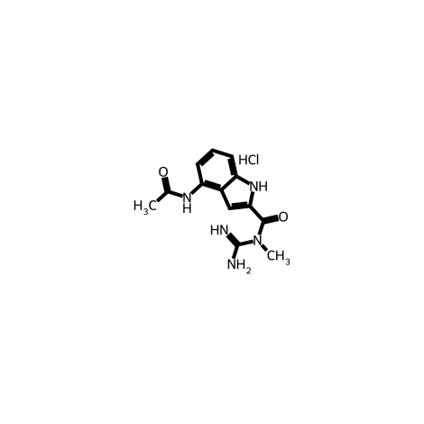 CC(=O)Nc1cccc2[nH]c(C(=O)N(C)C(=N)N)cc12.Cl